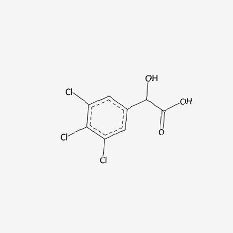 O=C(O)C(O)c1cc(Cl)c(Cl)c(Cl)c1